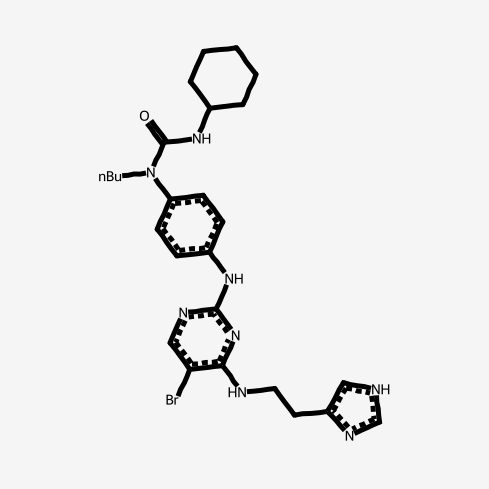 CCCCN(C(=O)NC1CCCCC1)c1ccc(Nc2ncc(Br)c(NCCc3c[nH]cn3)n2)cc1